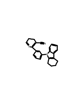 N#CC1=C(c2cccc(-n3c4c(c5ccccc53)CCCC4)c2)N=CCC1